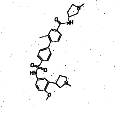 COc1ccc(NS(=O)(=O)c2ccc(-c3ccc(C(=O)NC4CCN(C)C4)cc3C)cc2)cc1C1CCN(C)C1